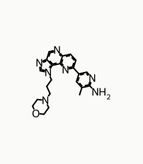 Cc1cc(-c2ccc3ncc4ncn(CCCN5CCOCC5)c4c3n2)cnc1N